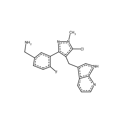 Cn1nc(-c2cc(CN)ccc2F)c(Cc2c[nH]c3ncccc23)c1Cl